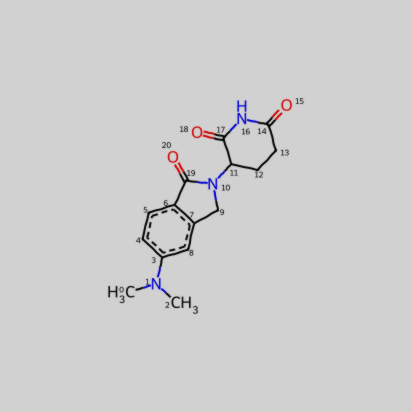 CN(C)c1ccc2c(c1)CN(C1CCC(=O)NC1=O)C2=O